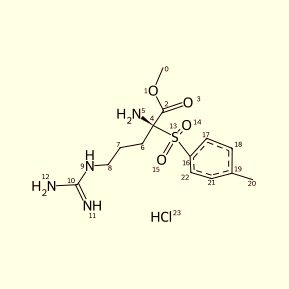 COC(=O)[C@@](N)(CCCNC(=N)N)S(=O)(=O)c1ccc(C)cc1.Cl